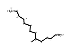 CCCCCCCCCCC(C)CCCCCCCN